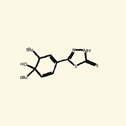 CC(C)(C)C1C=C(c2n[nH]c(=S)s2)C=CC1(O)C(C)(C)C